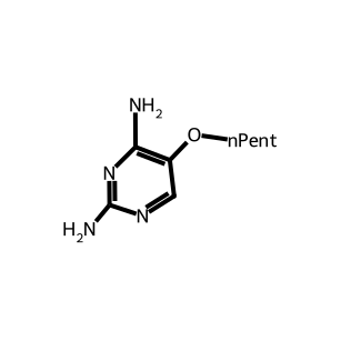 CCCCCOc1cnc(N)nc1N